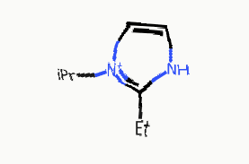 CCc1[nH]cc[n+]1C(C)C